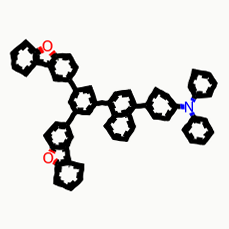 c1ccc(N(c2ccccc2)c2ccc(-c3ccc(-c4cc(-c5ccc6oc7ccccc7c6c5)cc(-c5ccc6oc7ccccc7c6c5)c4)c4ccccc34)cc2)cc1